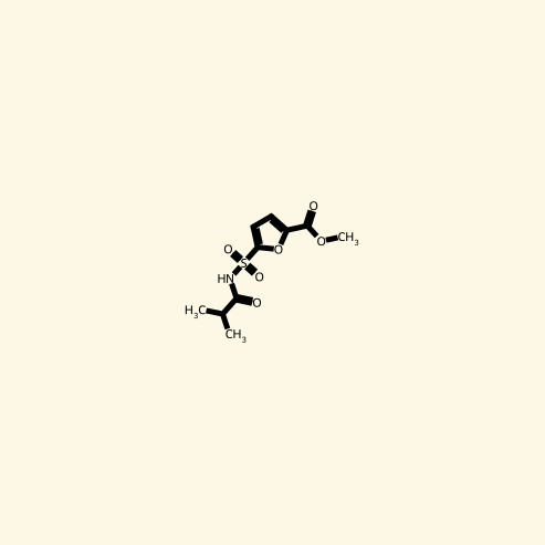 COC(=O)c1ccc(S(=O)(=O)NC(=O)C(C)C)o1